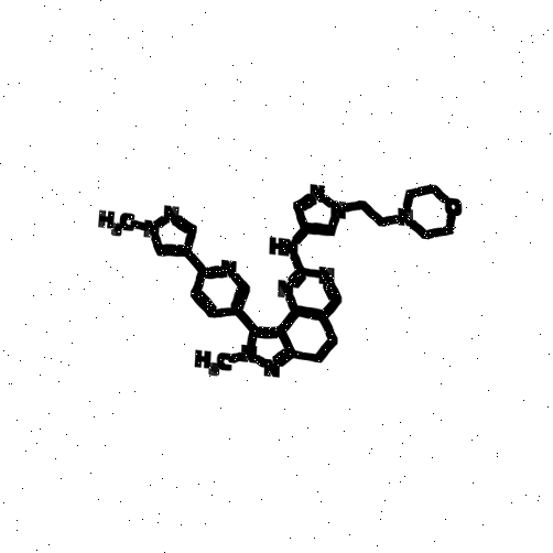 Cn1cc(-c2ccc(-c3c4c(nn3C)CCc3cnc(Nc5cnn(CCN6CCOCC6)c5)nc3-4)cn2)cn1